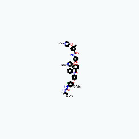 CCCCN1CCC(Oc2ccc(C(=O)Nc3ccc(OC4(OC5CCN(CCCC)CC5)C=CC(C(=O)Nc5ccc(Oc6cc(F)c(NC(=O)NC(CC)COC)cc6OC)cc5)=C(c5ccccc5)C4(C)OC)cc3)cc2C)CC1